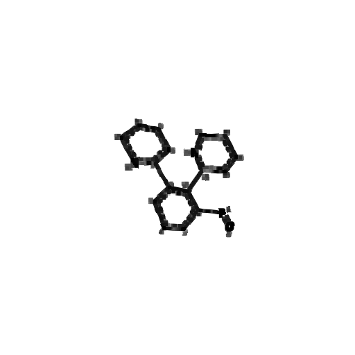 O=Pc1cccc(-c2ccccn2)c1-c1ccccn1